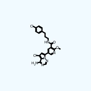 COc1ncc(-c2cc(Cl)c3c(N)ncnn23)cc1C(=O)NCCCc1ccc(Cl)cc1